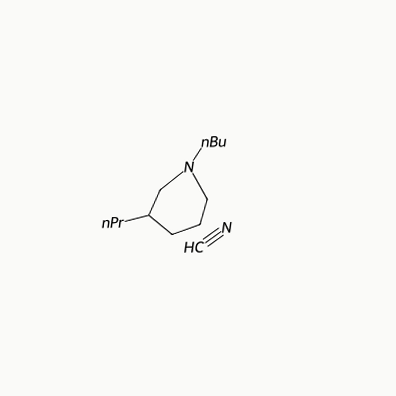 C#N.CCCCN1CCCC(CCC)C1